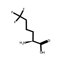 N[C@@H](CCCC(F)(F)F)C(=O)O